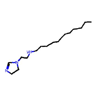 CCCCCCCCCCCNCCN1C=NCC1